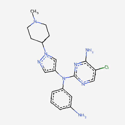 CN1CCC(n2cc(N(c3cccc(N)c3)c3ncc(Cl)c(N)n3)cn2)CC1